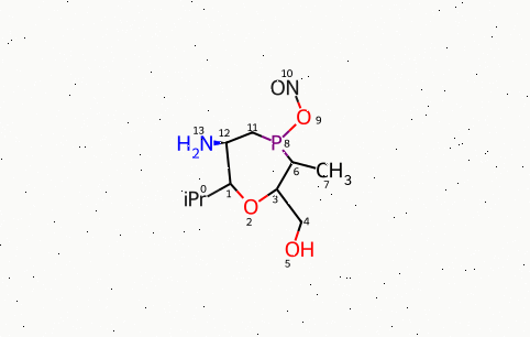 CC(C)C1OC(CO)C(C)P(ON=O)C[C@@H]1N